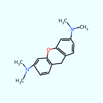 CN(C)c1ccc2c(c1)Oc1cc(N(C)C)ccc1C2